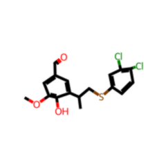 COc1cc(C=O)cc(C(C)CSc2ccc(Cl)c(Cl)c2)c1O